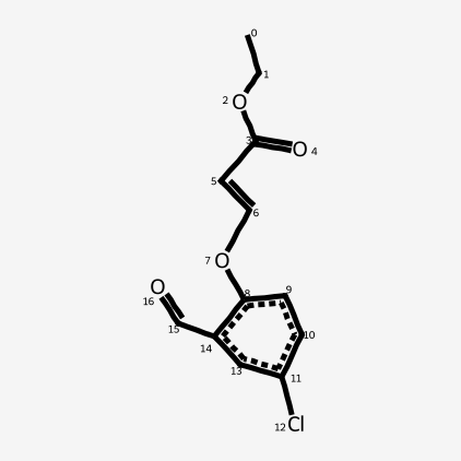 CCOC(=O)C=COc1ccc(Cl)cc1C=O